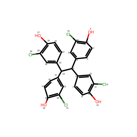 Oc1ccc(C(c2ccc(O)c(Cl)c2)C(c2ccc(O)c(Cl)c2)c2ccc(O)c(Cl)c2)cc1Cl